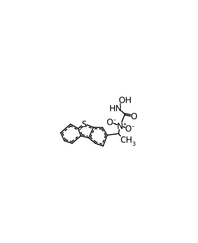 CC(c1ccc2c(c1)sc1ccccc12)[N+]([O-])([O-])C(=O)NO